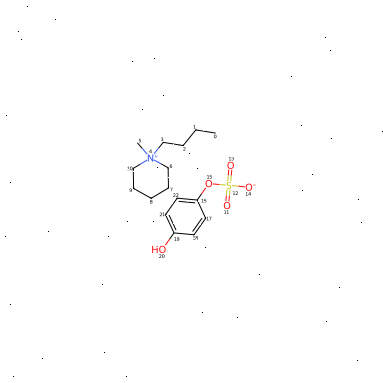 CCCC[N+]1(C)CCCCC1.O=S(=O)([O-])Oc1ccc(O)cc1